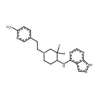 Cc1ccc(CCN2CCC(Nc3ncnc4[nH]ncc34)C(F)(F)C2)cn1